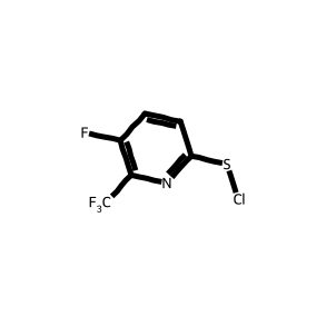 Fc1ccc(SCl)nc1C(F)(F)F